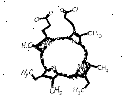 CCC1=C(C)c2cc3[nH]c(cc4nc(cc5[nH]c(cc1n2)c(C)c5CCC(=O)Cl)C(CCC(=O)Cl)=C4C)c(C)c3CC